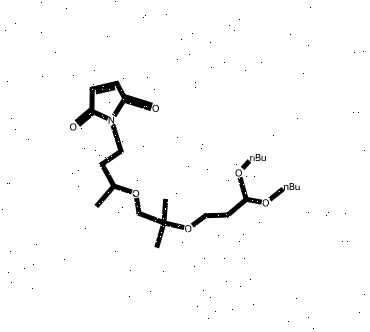 CCCCOC(CCOC(C)(C)COC(C)CCN1C(=O)C=CC1=O)OCCCC